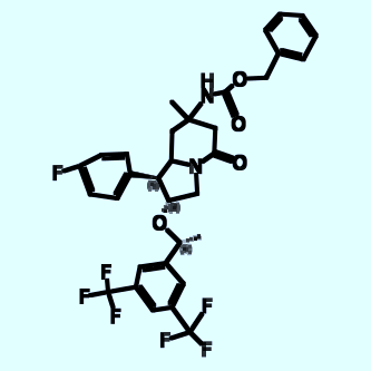 C[C@@H](O[C@H]1CN2C(=O)CC(C)(NC(=O)OCc3ccccc3)CC2[C@@H]1c1ccc(F)cc1)c1cc(C(F)(F)F)cc(C(F)(F)F)c1